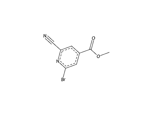 COC(=O)c1cc(Br)nc(C#N)c1